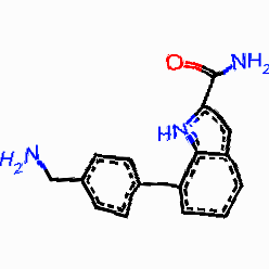 NCc1ccc(-c2cccc3cc(C(N)=O)[nH]c23)cc1